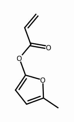 C=CC(=O)Oc1ccc(C)o1